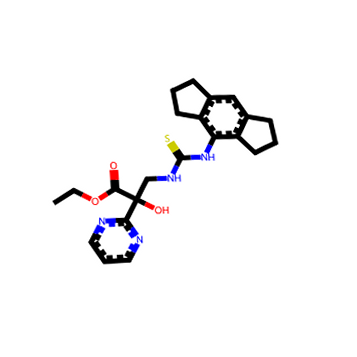 CCOC(=O)C(O)(CNC(=S)Nc1c2c(cc3c1CCC3)CCC2)c1ncccn1